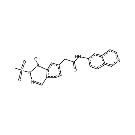 CS(=O)(=O)N1N=Cc2ccc(CC(=O)Nc3ccc4cnccc4c3)cc2B1O